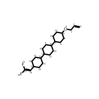 C=CCOC1CCC(C2CCC(C3CCC(C=C(F)F)CC3)CC2)CC1